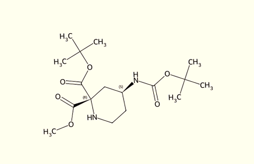 COC(=O)[C@@]1(C(=O)OC(C)(C)C)C[C@@H](NC(=O)OC(C)(C)C)CCN1